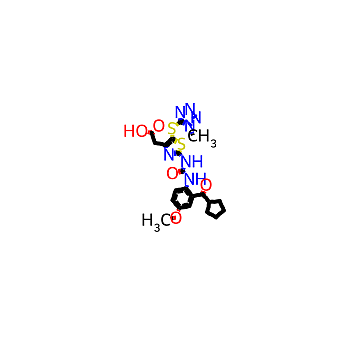 COc1ccc(NC(=O)Nc2nc(CC(=O)O)c(Sc3nnnn3C)s2)c(C(=O)C2CCCC2)c1